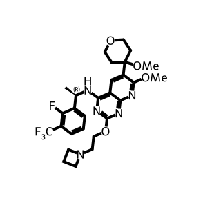 COc1nc2nc(OCCN3CCC3)nc(N[C@H](C)c3cccc(C(F)(F)F)c3F)c2cc1C1(OC)CCOCC1